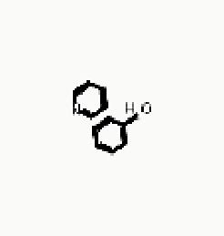 Cc1ccccc1.O.c1ccncc1